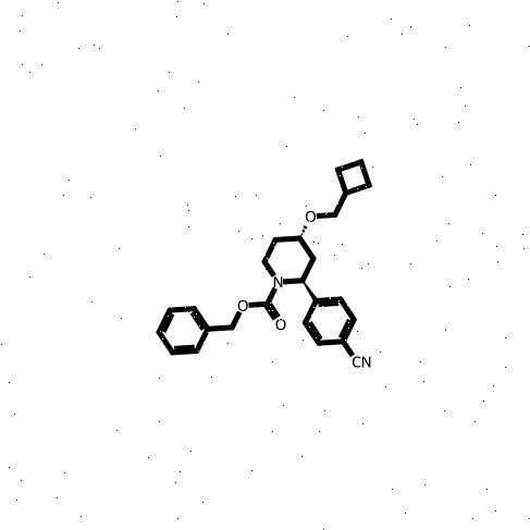 N#Cc1ccc([C@@H]2C[C@@H](OCC3CCC3)CCN2C(=O)OCc2ccccc2)cc1